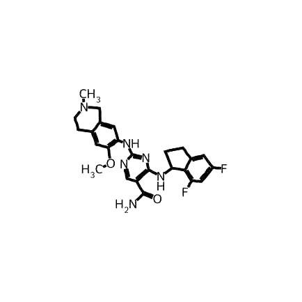 COc1cc2c(cc1Nc1ncc(C(N)=O)c(NC3CCc4cc(F)cc(F)c43)n1)CN(C)CC2